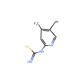 CC(C)c1cnc(NC(=N)S)cc1C(F)(F)F